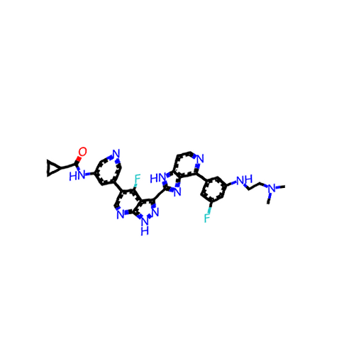 CN(C)CCNc1cc(F)cc(-c2nccc3[nH]c(-c4n[nH]c5ncc(-c6cncc(NC(=O)C7CC7)c6)c(F)c45)nc23)c1